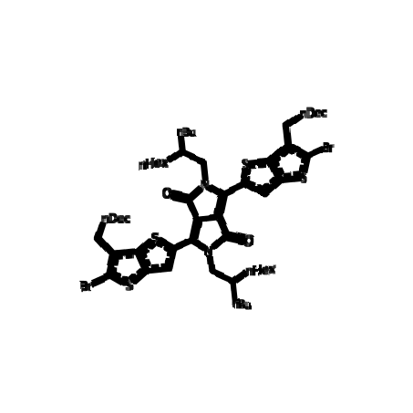 CCCCCCCCCCCc1c(Br)sc2cc(C3=C4C(=O)N(CC(CCCC)CCCCCC)C(c5cc6sc(Br)c(CCCCCCCCCCC)c6s5)=C4C(=O)N3CC(CCCC)CCCCCC)sc12